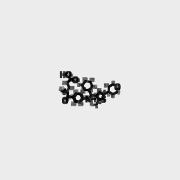 CCc1sc(C2CCOCC2)cc1C(Nc1ccc(C(=O)N(C)CCC(=O)O)cc1)C1CCCCC1